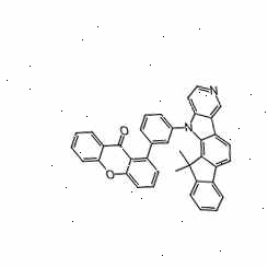 CC1(C)c2ccccc2-c2ccc3c4cnccc4n(-c4cccc(-c5cccc6oc7ccccc7c(=O)c56)c4)c3c21